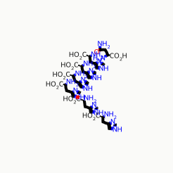 NC(=O)C[C@H](N)C(=O)O.N[C@@H](Cc1c[nH]cn1)C(=O)O.N[C@@H](Cc1c[nH]cn1)C(=O)O.N[C@@H](Cc1c[nH]cn1)C(=O)O.N[C@@H](Cc1c[nH]cn1)C(=O)O.N[C@@H](Cc1c[nH]cn1)C(=O)O.N[C@@H](Cc1c[nH]cn1)C(=O)O